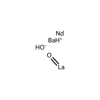 [BaH+].[Nd].[OH-].[O]=[La]